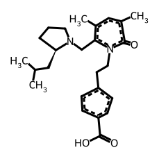 Cc1cc(C)c(=O)n(CCc2ccc(C(=O)O)cc2)c1CN1CCC[C@@H]1CC(C)C